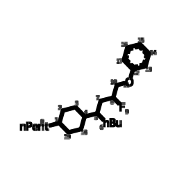 CCCCCC1CCC(C(CCCC)CC(F)COc2ccccc2)CC1